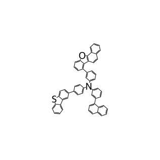 c1cc(-c2cccc3ccccc23)cc(N(c2ccc(-c3ccc4sc5ccccc5c4c3)cc2)c2cccc(-c3cccc4oc5c6ccccc6ccc5c34)c2)c1